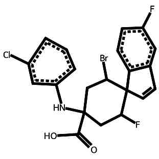 O=C(O)C1(Nc2cccc(Cl)c2)CC(F)C2(C=Cc3cc(F)ccc32)C(Br)C1